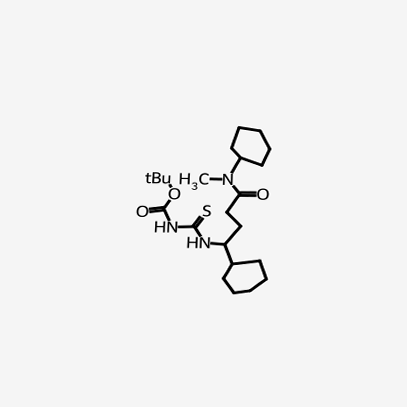 CN(C(=O)CCC(NC(=S)NC(=O)OC(C)(C)C)C1CCCCC1)C1CCCCC1